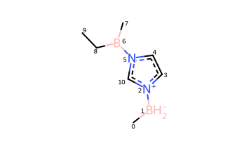 C[BH2-][n+]1ccn(B(C)CC)c1